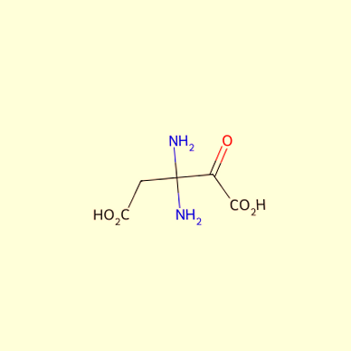 NC(N)(CC(=O)O)C(=O)C(=O)O